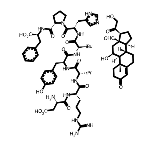 CC[C@H](C)[C@H](NC(=O)[C@H](Cc1ccc(O)cc1)NC(=O)[C@@H](NC(=O)[C@H](CCCNC(=N)N)NC(=O)[C@@H](N)CC(=O)O)C(C)C)C(=O)N[C@@H](Cc1cnc[nH]1)C(=O)N1CCC[C@H]1C(=O)N[C@@H](Cc1ccccc1)C(=O)O.C[C@]12CCC(=O)C=C1CC[C@@H]1[C@@H]2[C@@H](O)C[C@]2(C=O)[C@@H](C(=O)CO)CC[C@@H]12